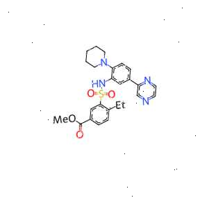 CCc1ccc(C(=O)OC)cc1S(=O)(=O)Nc1cc(-c2cnccn2)ccc1N1CCCCC1